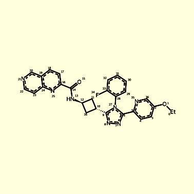 CCOc1ccc(-c2nnc([C@H]3C[C@H](NC(=O)c4ccc5cnccc5n4)C3)n2-c2ccccc2F)nc1